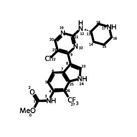 COC(=O)Nc1ccc2c(-c3nc(N[C@H]4CCCNC4)ncc3Cl)c[nH]c2c1C(F)(F)F